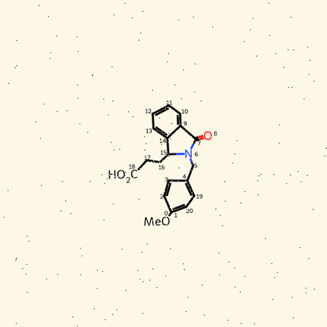 COc1ccc(CN2C(=O)c3ccccc3C2CCC(=O)O)cc1